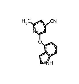 Cc1cc(C#N)cc(Oc2cccc3[nH]ccc23)n1